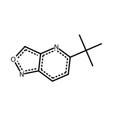 CC(C)(C)c1ccc2nocc2n1